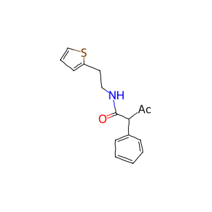 CC(=O)C(C(=O)NCCc1cccs1)c1ccccc1